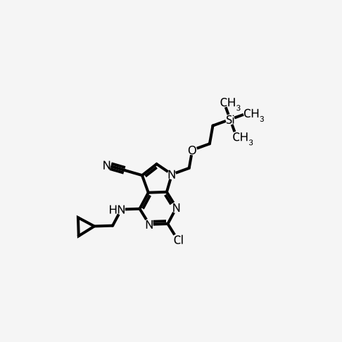 C[Si](C)(C)CCOCn1cc(C#N)c2c(NCC3CC3)nc(Cl)nc21